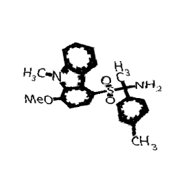 COc1ccc(S(=O)(=O)C(C)(N)c2ccc(C)cc2)c2c3ccccc3n(C)c12